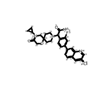 NC(=O)C(c1ccc(-c2ccc3cc(Cl)cnc3c2)cc1F)N1CCC2(CC1)CN(C1CC1)C(=O)CO2